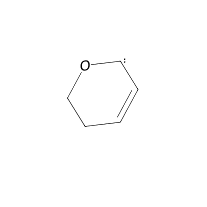 [C]1C=CCCO1